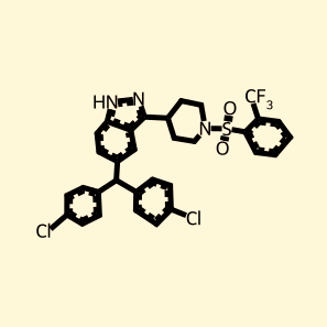 O=S(=O)(c1ccccc1C(F)(F)F)N1CCC(c2n[nH]c3ccc(C(c4ccc(Cl)cc4)c4ccc(Cl)cc4)cc23)CC1